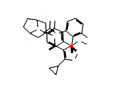 CC(C)(C)OC(=O)c1ccc(N2[C@@H]3CC[C@H]2CC(OC(=O)c2c(-c4c(Cl)cccc4OC(F)F)noc2C2CC2)C3)c(F)c1